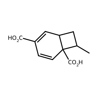 CC1CC2C=C(C(=O)O)C=CC12C(=O)O